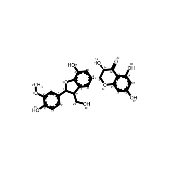 COc1cc(C2Oc3c(O)cc([C@H]4Oc5cc(O)cc(O)c5C(=O)[C@@H]4O)cc3C2CO)ccc1O